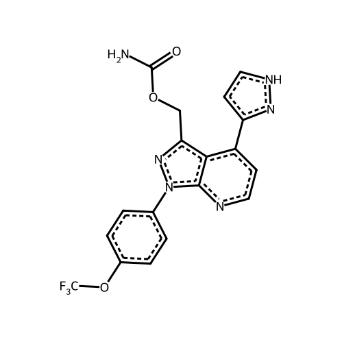 NC(=O)OCc1nn(-c2ccc(OC(F)(F)F)cc2)c2nccc(-c3cc[nH]n3)c12